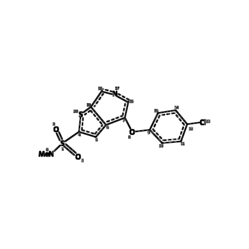 CNS(=O)(=O)c1cc2c(Oc3ccc(Cl)cc3)cncc2s1